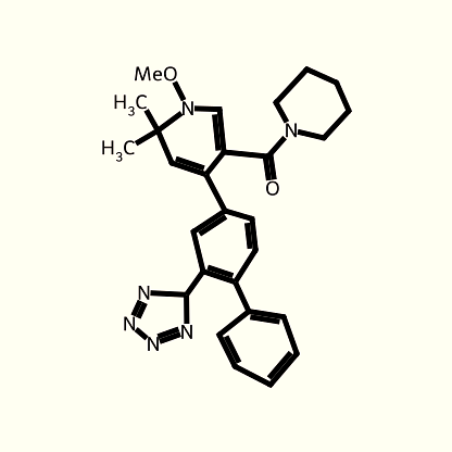 CON1C=C(C(=O)N2CCCCC2)C(c2ccc(-c3ccccc3)c(C3N=NN=N3)c2)=CC1(C)C